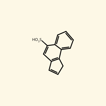 O=S(=O)(O)c1cc2c(c3ccccc13)CC=C2